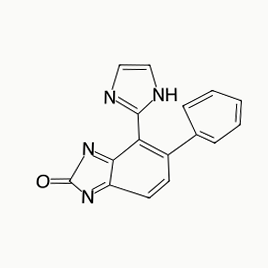 O=C1N=c2ccc(-c3ccccc3)c(-c3ncc[nH]3)c2=N1